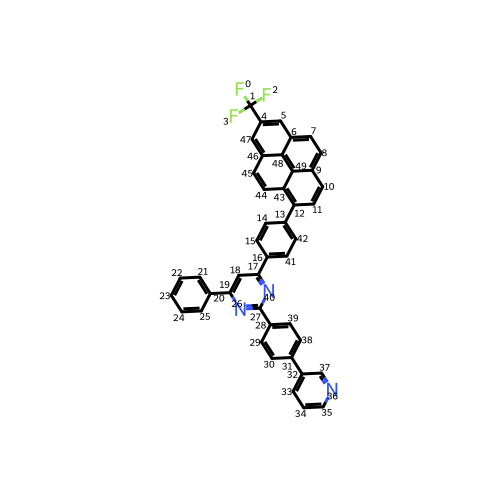 FC(F)(F)c1cc2ccc3ccc(-c4ccc(-c5cc(-c6ccccc6)nc(-c6ccc(-c7cccnc7)cc6)n5)cc4)c4ccc(c1)c2c34